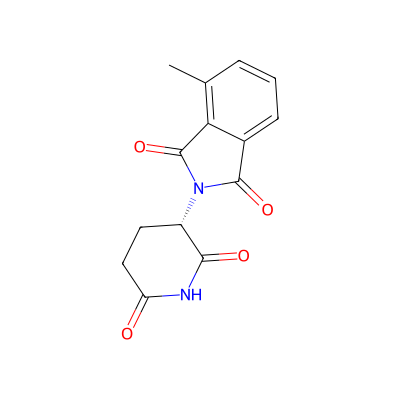 Cc1cccc2c1C(=O)N([C@H]1CCC(=O)NC1=O)C2=O